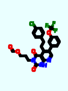 O=COCCCn1c(=O)[nH]c2ncc(-c3cccc(OC(F)(F)F)c3)c(CCc3ccc(Cl)cc3)c2c1=O